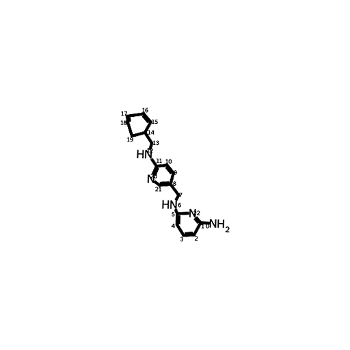 Nc1cccc(NCc2ccc(NCC3C=CC=CC3)nc2)n1